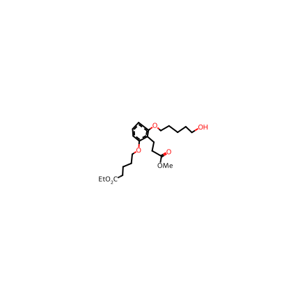 CCOC(=O)CCCCOc1cccc(OCCCCCO)c1CCC(=O)OC